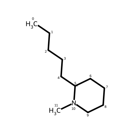 CCCCC[C]1CCCCN1C